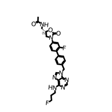 CC(=O)NC[C@H]1CN(c2ccc(-c3ccc(Cn4cnc5c(NCCCF)ncnc54)cc3)c(F)c2)C(=O)O1